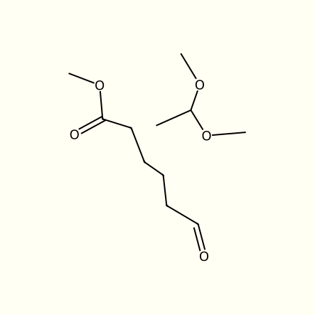 COC(=O)CCCCC=O.COC(C)OC